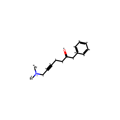 CCN(CC#CCCC(=O)Cc1ccccc1)C(C)C